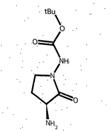 CC(C)(C)OC(=O)NN1CC[C@H](N)C1=O